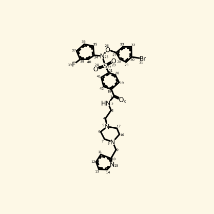 O=C(NCCN1CCN(Cc2ccccn2)CC1)c1ccc(S(=O)(=O)N(Oc2ccc(Br)cc2)c2cccc(F)c2)cc1